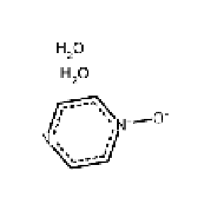 O.O.[O-][n+]1ccncc1